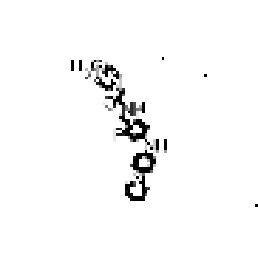 CN1CCN(CC(=O)NCc2c(F)cc(Nc3ccc(N4CCCCC4)cc3)cc2F)CC1